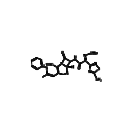 CON=C(C(=O)NC1C(=O)N2C(C(=O)[O-])=C(C=C(C)S[n+]3ccccc3)CS[C@@H]12)c1nsc(N)n1